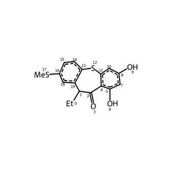 CCC1C(=O)c2c(O)cc(O)cc2Sc2ccc(SC)cc21